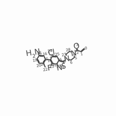 C=CC(=O)N1CCN(c2snc3c(F)c(-c4cc(N)ccc4C)c(Cl)cc23)CC1